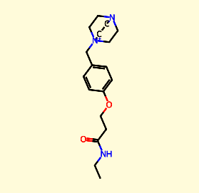 CCNC(=O)CCOc1ccc(C[N+]23CCN(CC2)CC3)cc1